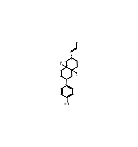 CC=C[C@@H]1CC[C@@H]2CC(c3ccc(Cl)cc3)CC[C@@H]2C1